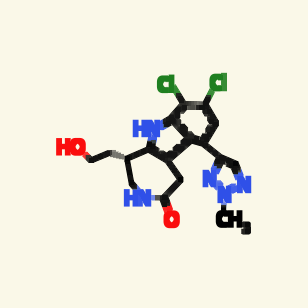 Cn1ncc(-c2cc(Cl)c(Cl)c3[nH]c4c(c23)CC(=O)NC[C@@H]4CCO)n1